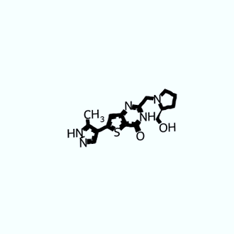 Cc1[nH]ncc1-c1cc2nc(CN3CCC[C@H]3CO)[nH]c(=O)c2s1